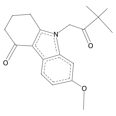 COc1ccc2c3c(n(CC(=O)C(C)(C)C)c2c1)CCCC3=O